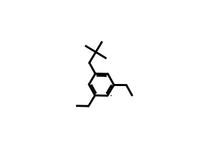 CCc1[c]c(CC)cc(CC(C)(C)C)c1